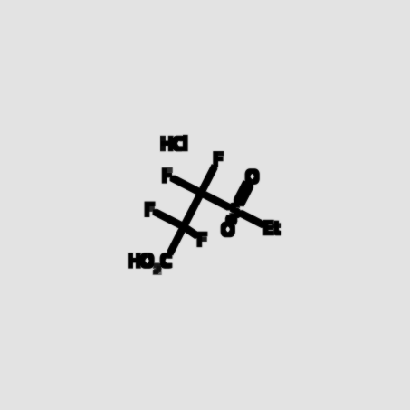 CCS(=O)(=O)C(F)(F)C(F)(F)C(=O)O.Cl